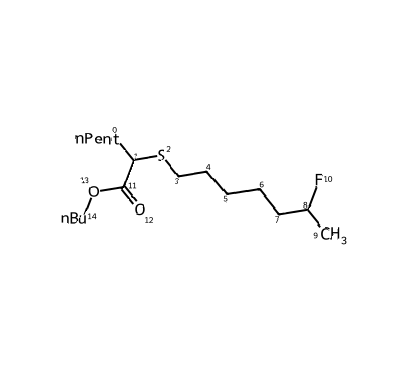 CCCCCC(SCCCCCC(C)F)C(=O)OCCCC